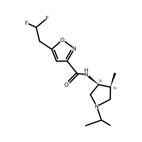 CC(C)N1C[C@H](C)[C@H](NC(=O)c2cc(CC(F)F)on2)C1